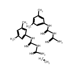 C=C.Cc1cc(C)cc(NC(=N)NC(=N)N)c1.Cc1cc(C)cc(NC(=N)NC(=N)N)c1